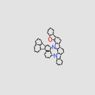 c1ccc(-n2c3ccccc3c3ccc4c5ccc6c7ccccc7oc6c5n(-c5ccc6c(c5)-c5cccc7cccc-6c57)c4c32)cc1